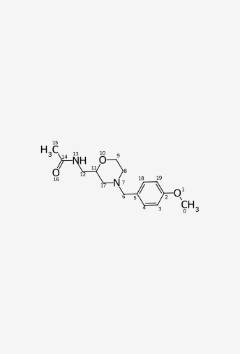 COc1ccc(CN2CCOC(CNC(C)=O)C2)cc1